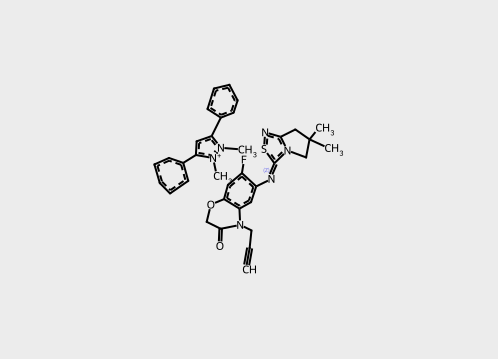 C#CCN1C(=O)COc2cc(F)c(/N=c3\snc4n3CC(C)(C)C4)cc21.Cn1c(-c2ccccc2)cc(-c2ccccc2)[n+]1C